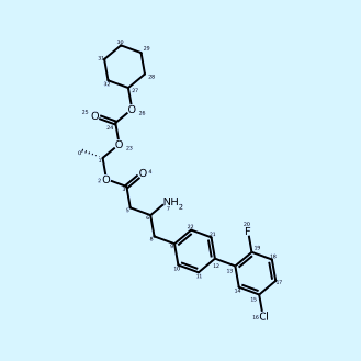 C[C@@H](OC(=O)CC(N)Cc1ccc(-c2cc(Cl)ccc2F)cc1)OC(=O)OC1CCCCC1